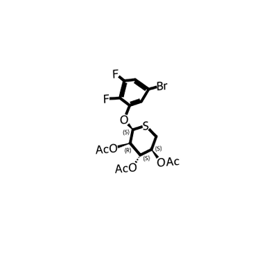 CC(=O)O[C@@H]1[C@@H](OC(C)=O)[C@@H](Oc2cc(Br)cc(F)c2F)SC[C@H]1OC(C)=O